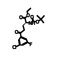 CCOC(=O)[C@@H](CCC(=O)c1cc(F)cc(Cl)c1)NC(=O)OC(C)(C)C